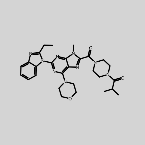 CCc1nc2ccccc2n1-c1nc(N2CCOCC2)c2nc(C(=O)N3CCN(C(=O)C(C)C)CC3)n(C)c2n1